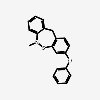 CN1Sc2cc(Oc3ccccc3)ccc2Cc2ccccc21